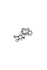 COc1ccccc1CNC(=O)c1cc(Br)c(Cl)cc1F